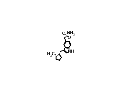 CN1CCC[C@@H]1Cc1c[nH]c2ccc(CS(N)(=O)=O)cc12